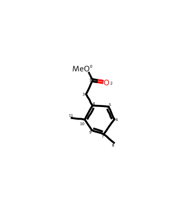 COC(=O)Cc1ccc(C)cc1C